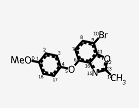 COc1ccc(Oc2ccc(Br)c3oc(C)nc23)cc1